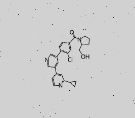 O=C(c1ccc(-c2cncc(-c3ccnc(C4CC4)c3)c2)c(Cl)c1)N1CCCC1CO